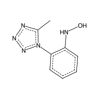 Cc1nnnn1-c1ccccc1NO